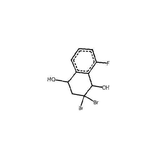 OC1CC(Br)(Br)C(O)c2c(F)cccc21